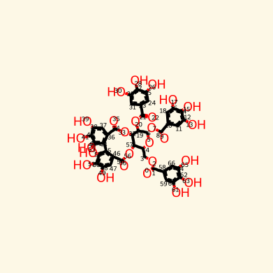 O=C(OCC1OC(OC(=O)c2cc(O)c(O)c(O)c2)C(OC(=O)c2cc(O)c(O)c(O)c2)C2OC(=O)c3cc(O)c(O)c(O)c3-c3c(cc(O)c(O)c3O)C(=O)OC12)c1cc(O)c(O)c(O)c1